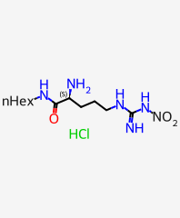 CCCCCCNC(=O)[C@@H](N)CCCNC(=N)N[N+](=O)[O-].Cl